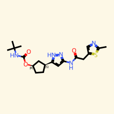 Cc1ncc(CC(=O)Nc2cc([C@H]3CC[C@@H](OC(=O)NC(C)(C)C)C3)[nH]n2)s1